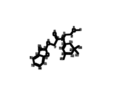 COCCN(C(=O)COc1nc2ccccc2o1)C1=CC(C)=CC(C)(C)C1